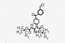 CC(C)(C)OC(=O)NC(=N)N(C(=O)OC(C)(C)C)N1CCN(C(=O)c2cccc(CCl)c2)CC1